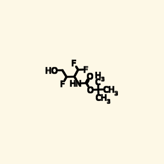 CC(C)(C)OC(=O)NC(C(F)F)C(F)CO